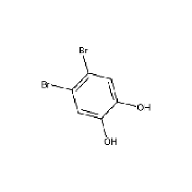 Oc1cc(Br)c(Br)cc1O